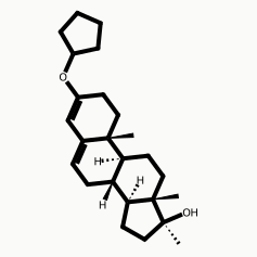 C[C@]12CCC(OC3CCCC3)=CC1=CC[C@@H]1[C@@H]2CC[C@@]2(C)[C@H]1CC[C@]2(C)O